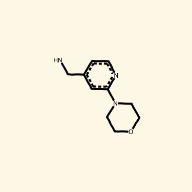 [NH]Cc1ccnc(N2CCOCC2)c1